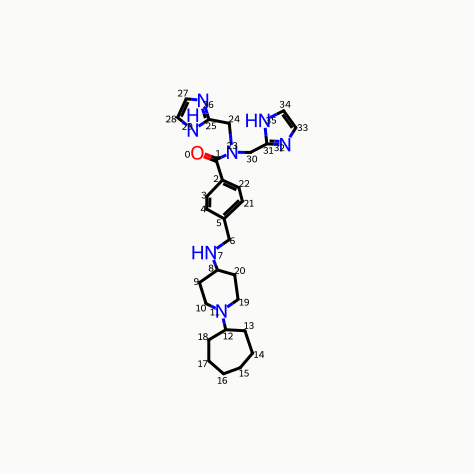 O=C(c1ccc(CNC2CCN(C3CCCCCC3)CC2)cc1)N(Cc1ncc[nH]1)Cc1ncc[nH]1